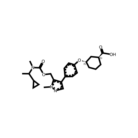 CC(C1CC1)N(C)C(=O)OCc1c(-c2ccc(O[C@H]3CCC[C@H](C(=O)O)C3)cc2)cnn1C